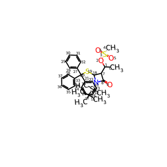 CC(OS(C)(=O)=O)C1C(=O)N([Si](C)(C)C(C)(C)C)C1SC(c1ccccc1)(c1ccccc1)c1ccccc1